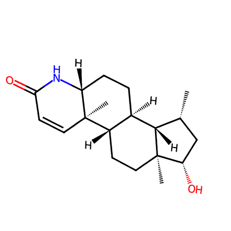 C[C@@H]1C[C@H](O)[C@@]2(C)CC[C@H]3[C@@H](CC[C@H]4NC(=O)C=C[C@@]43C)[C@H]12